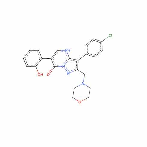 O=c1c(-c2ccccc2O)c[nH]c2c(-c3ccc(Cl)cc3)c(CN3CCOCC3)nn12